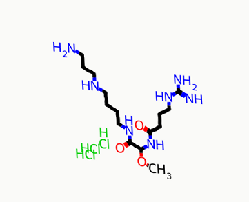 COC(NC(=O)CCCNC(=N)N)C(=O)NCCCCNCCCN.Cl.Cl.Cl